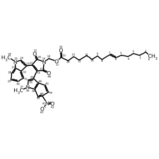 CCCCCCC=CCCCCCCCC(=O)OCN1C(=O)C(c2cn(C)c3ccccc23)=C(c2cn(C)c3cc([N+](=O)[O-])ccc23)C1=O